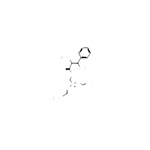 BC(C(=O)OCP(=O)(OCC)OCC)C(B)c1ccccc1